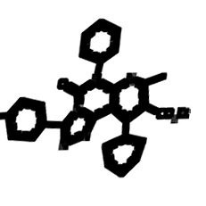 CCOC(=O)c1c(C)nc2c(c1-c1ccccc1)c1nnc(-c3ccc(C)cc3)n1c(=O)n2-c1ccccc1